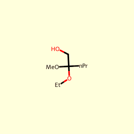 CCCC(CO)(OC)OCC